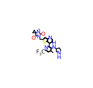 Cc1cc(C(F)(F)F)nc(-c2ccnc3cc(CN4C(=O)N(C)C5(CC5)C4=O)sc23)c1NC1CCNC1